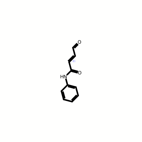 O=C/C=C/C(=O)Nc1ccccc1